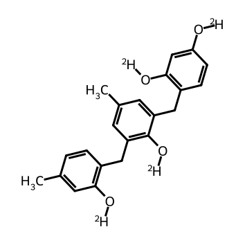 [2H]Oc1ccc(Cc2cc(C)cc(Cc3ccc(C)cc3O[2H])c2O[2H])c(O[2H])c1